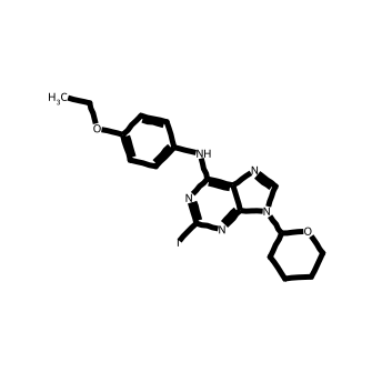 CCOc1ccc(Nc2nc(I)nc3c2ncn3C2CCCCO2)cc1